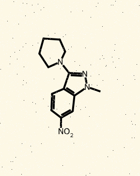 Cn1nc(N2CCCCC2)c2ccc([N+](=O)[O-])cc21